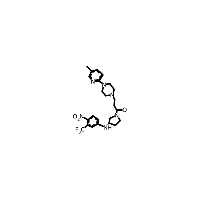 Cc1ccc(N2CCN(CCC(=O)N3CC[C@H](Nc4ccc([N+](=O)[O-])c(C(F)(F)F)c4)C3)CC2)nc1